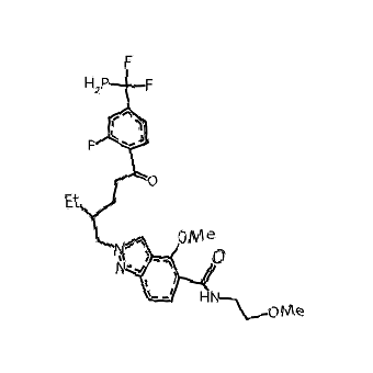 CCC(CCC(=O)c1ccc(C(F)(F)P)cc1F)Cn1cc2c(OC)c(C(=O)NCCOC)ccc2n1